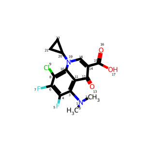 CN(C)c1c(F)c(F)c(Cl)c2c1c(=O)c(C(=O)O)cn2C1CC1